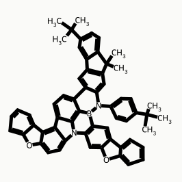 CC(C)(C)c1ccc(N2B3c4cc5c(cc4-n4c6ccc7oc8ccccc8c7c6c6ccc(c3c64)-c3cc4c(cc32)C(C)(C)c2ccc(C(C)(C)C)cc2-4)oc2ccccc25)cc1